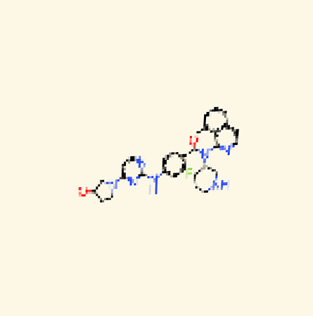 Cc1cccc2ccnc(N(C(=O)c3ccc(Nc4nccc(N5CCC(=O)C5)n4)cc3F)[C@@H]3CCCNC3)c12